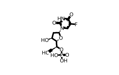 C#C[C@H](OP(=O)(O)O)[C@H]1O[C@@H](n2cc(F)c(=O)[nH]c2=O)C[C@@H]1O